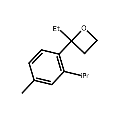 CCC1(c2ccc(C)cc2C(C)C)CCO1